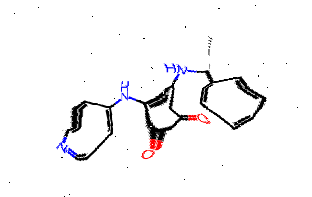 C[C@@H](Nc1c(Nc2c[c]ncc2)c(=O)c1=O)c1ccccc1